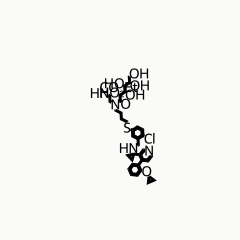 CCOC(=O)NCCN(CCCCSc1ccc(Cl)c(CNC2(c3cnccc3-c3ccccc3OC3CC3)CC2)c1)C(=O)[C@@H](O)[C@@H](O)[C@H](O)[C@@H](O)CO